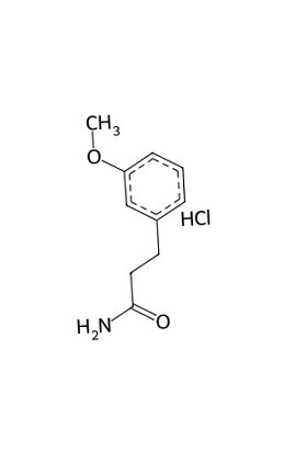 COc1cccc(CCC(N)=O)c1.Cl